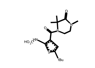 CN1CCN(C(=O)c2cc(C(C)(C)C)sc2NC(=O)O)C(C)(C)C1=O